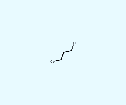 CCCC[CH2][Ge]